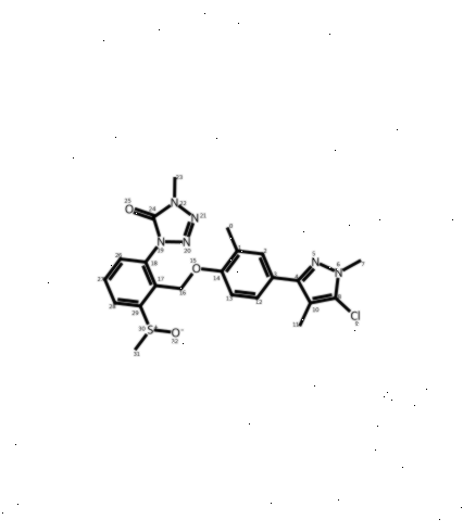 Cc1cc(-c2nn(C)c(Cl)c2C)ccc1OCc1c(-n2nnn(C)c2=O)cccc1[S+](C)[O-]